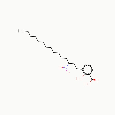 CCCCCCCCCCCCC(CCc1cccc(C(=O)O)c1O)[N+](=O)[O-]